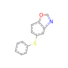 c1ccc(Sc2ccc3ocnc3c2)cc1